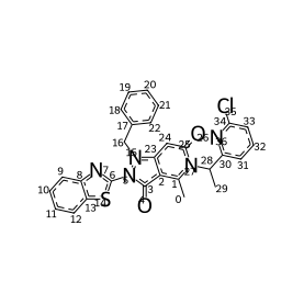 Cc1c2c(=O)n(-c3nc4ccccc4s3)n(Cc3ccccc3)c2cc(=O)n1C(C)c1cccc(Cl)n1